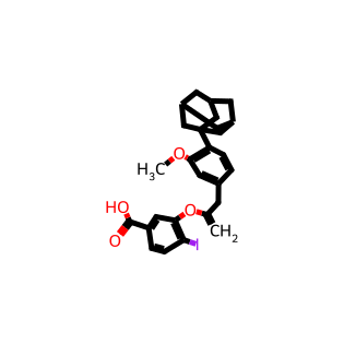 C=C(Cc1ccc(C23CC4CC(CC(C4)C2)C3)c(OC)c1)Oc1cc(C(=O)O)ccc1I